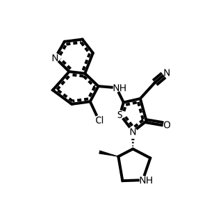 C[C@@H]1CNC[C@H]1n1sc(Nc2c(Cl)ccc3ncccc23)c(C#N)c1=O